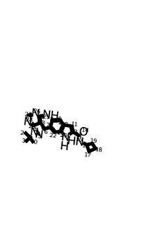 CC(C)(C)n1nc(-c2ccc3cc(C(=O)NC4CCC4)[nH]c3c2)c2c(N)ncnc21